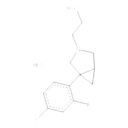 CCCN1CC2CC2(c2ccc(F)cc2F)C1.Cl